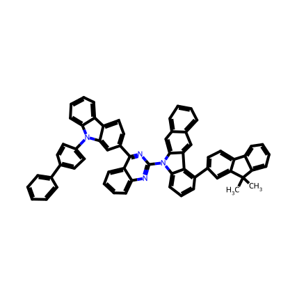 CC1(C)c2ccccc2-c2ccc(-c3cccc4c3c3cc5ccccc5cc3n4-c3nc(-c4ccc5c6ccccc6n(-c6ccc(-c7ccccc7)cc6)c5c4)c4ccccc4n3)cc21